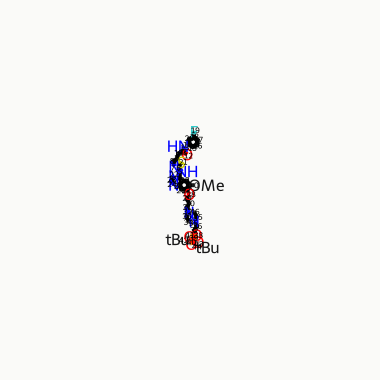 COc1cc2c(Nc3ncc(CC(=O)Nc4cccc(F)c4)s3)ncnc2cc1OCCCN1CCN(CCOP(=O)(OC(C)(C)C)OC(C)(C)C)CC1